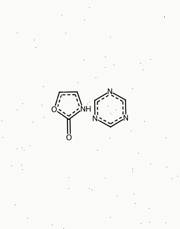 O=c1[nH]cco1.c1ncncn1